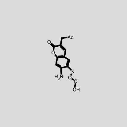 CC(=O)Cc1cc2cc(SOOO)c(N)cc2oc1=O